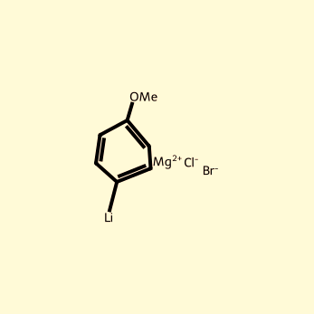 [Br-].[Cl-].[Li][c]1ccc(OC)cc1.[Mg+2]